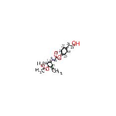 CC(=O)Oc1c(C)cc(/C=C/C(=O)Oc2ccc(CCO)cc2)cc1C